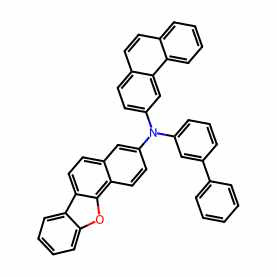 c1ccc(-c2cccc(N(c3ccc4c(ccc5c6ccccc6oc45)c3)c3ccc4ccc5ccccc5c4c3)c2)cc1